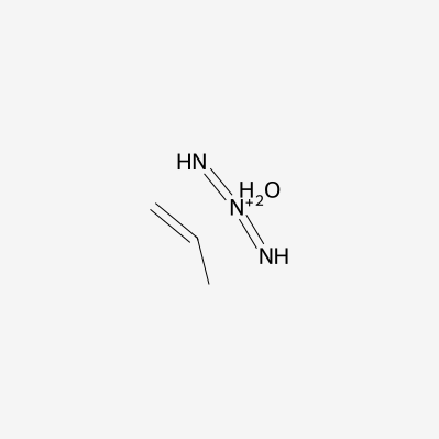 C=CC.N=[N+]=N.O